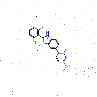 COc1ccc(-c2ccc3[nH]c(-c4c(F)cccc4Cl)cc3c2)c(C)n1